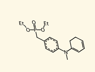 CCOP(=O)(Cc1ccc(N(C)C2=CC=CCC2)cc1)OCC